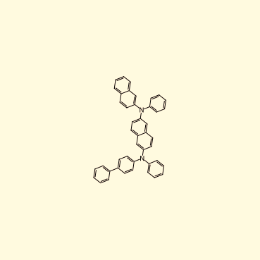 c1ccc(-c2ccc(N(c3ccccc3)c3ccc4cc(N(c5ccccc5)c5ccc6ccccc6c5)ccc4c3)cc2)cc1